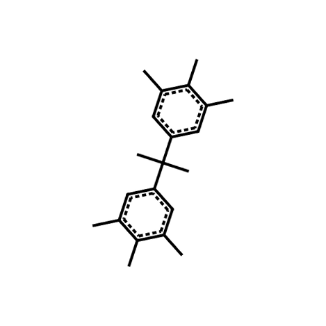 Cc1cc(C(C)(C)c2cc(C)c(C)c(C)c2)cc(C)c1C